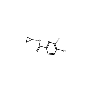 CCc1ccc(C(=O)NC2CC2)nc1F